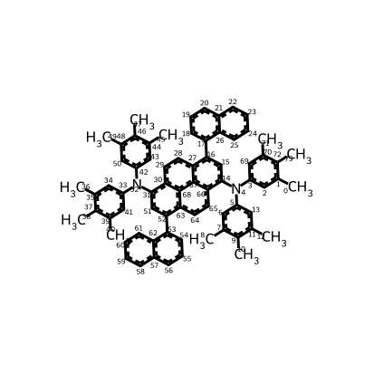 Cc1cc(N(c2cc(C)c(C)c(C)c2)c2cc(-c3cccc4ccccc34)c3ccc4c(N(c5cc(C)c(C)c(C)c5)c5cc(C)c(C)c(C)c5)cc(-c5cccc6ccccc56)c5ccc2c3c54)cc(C)c1C